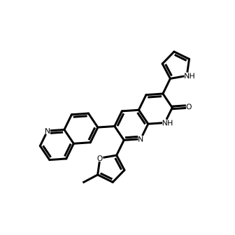 Cc1ccc(-c2nc3[nH]c(=O)c(-c4ccc[nH]4)cc3cc2-c2ccc3ncccc3c2)o1